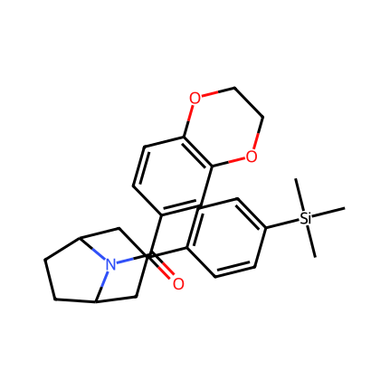 C[Si](C)(C)c1ccc(C2CC3CCC(C2)N3C(=O)c2ccc3c(c2)OCCO3)cc1